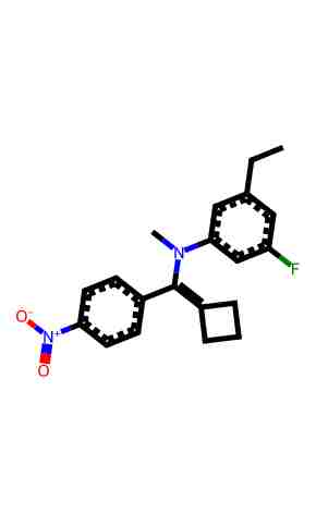 CCc1cc(F)cc(N(C)C(=C2CCC2)c2ccc([N+](=O)[O-])cc2)c1